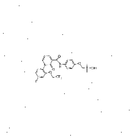 CC(C)(O)COc1ccc(NC(=O)c2cccn(-c3ccc(F)cc3OCC(F)(F)F)c2=O)cc1